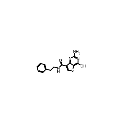 Nc1nc(O)c2scc(C(=O)NCCc3ccccc3)c2n1